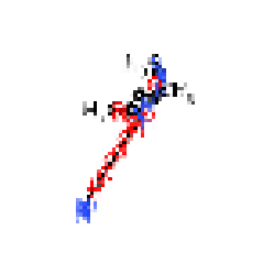 COC(=O)c1ccc2c(c1)N(COC(=O)CCOCCOCCOCCOCCOCCOCCN=[N+]=[N-])C(=O)/C2=C(\Nc1ccc(N(C)C(=O)CN2CCN(C)CC2)cc1)c1ccccc1